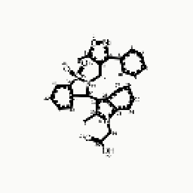 Cc1onc(-c2ccccc2)c1CN1C(c2c(C)n(CC(=O)O)c3ccccc23)c2ccccc2S1(=O)=O